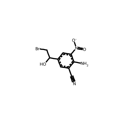 N#Cc1cc(C(O)CBr)cc([N+](=O)[O-])c1N